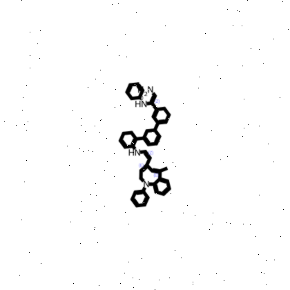 C\C1=C/C(/C=C\NC2=C(C3=CC=CC(C4=CCCC(/C(=C/N)N[C@H]5C=CC=CC5)=C4)C3)CCC=C2)=C\CN(c2ccccc2)c2ccccc21